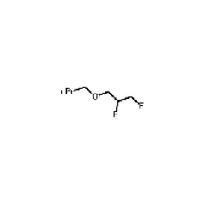 [CH2]CCCOCC(F)CF